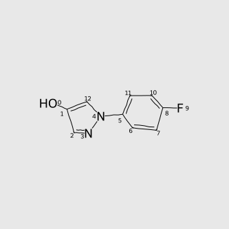 Oc1cnn(-c2ccc(F)cc2)c1